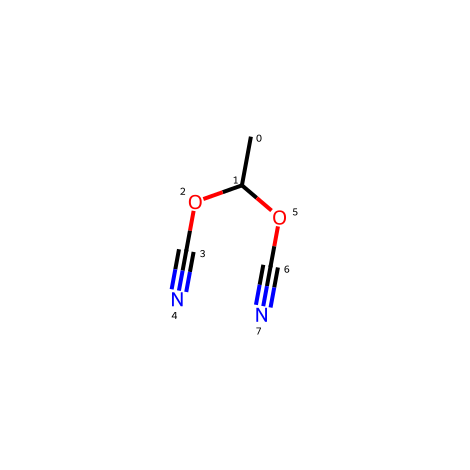 CC(OC#N)OC#N